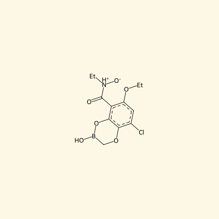 CCOc1cc(Cl)c2c(c1C(=O)[NH+]([O-])CC)OB(O)CO2